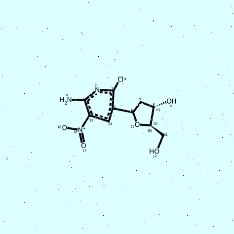 Nc1nc(Cl)c(C2C[C@H](O)[C@@H](CO)O2)cc1[N+](=O)[O-]